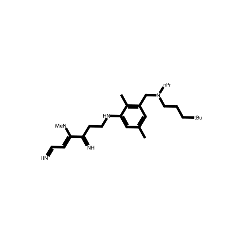 CCCN(CCCC(C)(C)C)Cc1cc(C)cc(NCCC(=N)/C(=C/C=N)NC)c1C